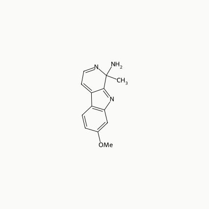 COc1ccc2c(c1)N=C1C2=CC=NC1(C)N